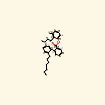 CCCCCCCc1ccccc1-c1ccccc1C(=O)Oc1cccc(C)c1CCCC